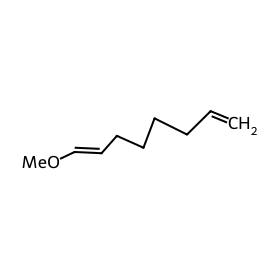 C=CCCCCC=COC